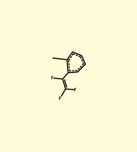 Cc1ccccc1C(F)=C(F)F